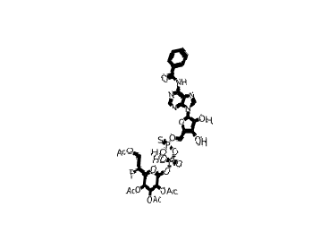 CC(=O)OC[C@H](F)C1OC(OP(=O)(O)OP(O)(=S)OCC2OC(n3cnc4c(NC(=O)c5ccccc5)ncnc43)C(O)C2O)C(OC(C)=O)C(OC(C)=O)C1OC(C)=O